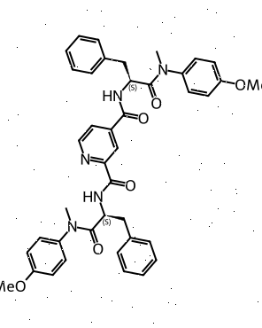 COc1ccc(N(C)C(=O)[C@H](Cc2ccccc2)NC(=O)c2ccnc(C(=O)N[C@@H](Cc3ccccc3)C(=O)N(C)c3ccc(OC)cc3)c2)cc1